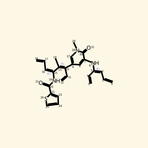 C=C/C=C(\C=C)Nc1cc(/C(C=C)=C(C)/C(=C\C=C)NC(=O)c2cccs2)cn(C)c1=O